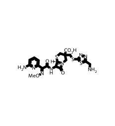 CON=C(C(=O)NC1C(=O)N2CC(CSc3nnc(CN)s3)(C(=O)O)CS[C@H]12)c1cccc(N)n1